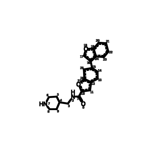 O=C(NCC1CCNCC1)c1cc2ccc(-c3coc4ccccc34)cc2o1